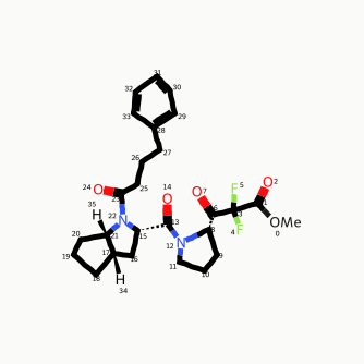 COC(=O)C(F)(F)C(=O)[C@@H]1CCCN1C(=O)[C@@H]1C[C@@H]2CCC[C@@H]2N1C(=O)CCCc1ccccc1